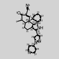 CC1C(=O)C(C#N)=C[C@]2(c3ccccc3)c3n[nH]c(-c4cnn(-c5ccncc5)c4)c3CCC12